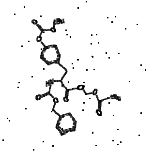 CC(C)(C)OC(=O)Oc1ccc(CC(NC(=O)OCc2ccccc2)C(=O)OCOC(=O)C(C)(C)C)cc1